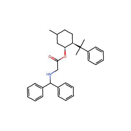 CC1CC[C@@H](C(C)(C)c2ccccc2)[C@@H](OC(=O)CNC(c2ccccc2)c2ccccc2)C1